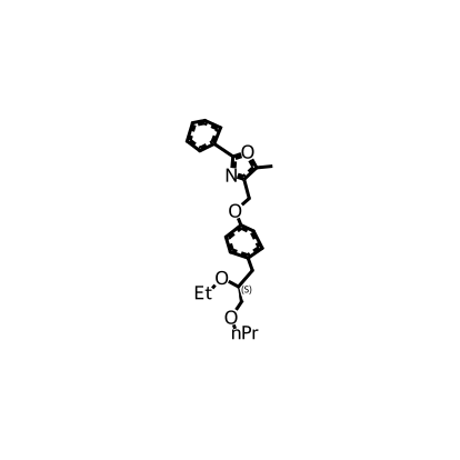 CCCOC[C@H](Cc1ccc(OCc2nc(-c3ccccc3)oc2C)cc1)OCC